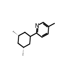 Cc1ccc(C2C[C@@H](C)C[C@@H](C)C2)nc1